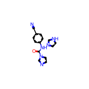 N#Cc1ccc(NC(=O)n2ccnc2)cc1.c1c[nH]cn1